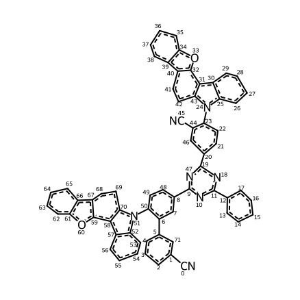 N#Cc1cccc(-c2cc(-c3nc(-c4ccccc4)nc(-c4ccc(-n5c6ccccc6c6c7oc8ccccc8c7ccc65)c(C#N)c4)n3)ccc2-n2c3ccccc3c3c4oc5ccccc5c4ccc32)c1